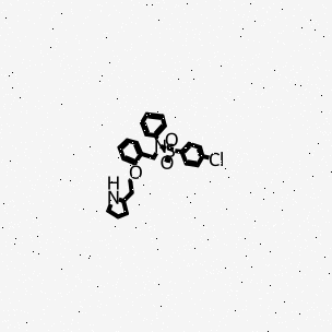 O=S(=O)(c1ccc(Cl)cc1)N(Cc1ccccc1OCCC1CCCN1)c1ccccc1